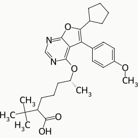 COc1ccc(-c2c(C3CCCC3)oc3ncnc(O[C@H](C)CCCC(C(=O)O)C(C)(C)C)c23)cc1